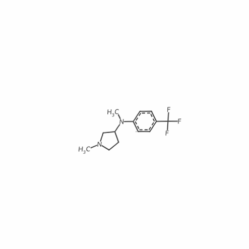 CN1CCC(N(C)c2[c]cc(C(F)(F)F)cc2)C1